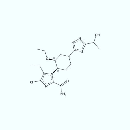 CCO[C@H]1CN(c2nnc(C(C)O)s2)CC[C@H]1n1c(C(N)=O)nc(Cl)c1CC